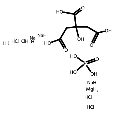 Cl.Cl.Cl.Cl.O=C(O)CC(O)(CC(=O)O)C(=O)O.O=P(O)(O)O.[KH].[MgH2].[NaH].[NaH].[NaH]